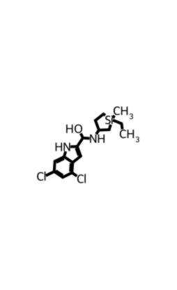 CC[Si]1(C)CCC(NC(O)c2cc3c(Cl)cc(Cl)cc3[nH]2)C1